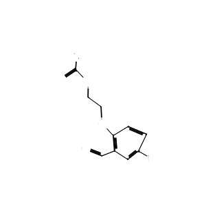 NC(=O)OCCOc1ccc(Br)cc1C=O